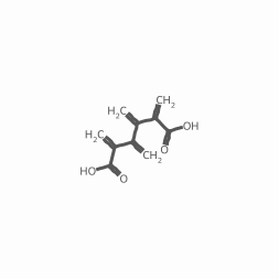 C=C(C(=C)C(=C)C(=O)O)C(=C)C(=O)O